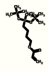 C=CC(=O)OCCCC[Si](C)(O[Si](C)(C)C)O[Si](C)(C)C